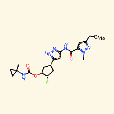 COCc1cc(C(=O)Nc2cc([C@H]3C[C@@H](F)[C@@H](OC(=O)NC4(C)CC4)C3)[nH]n2)n(C)n1